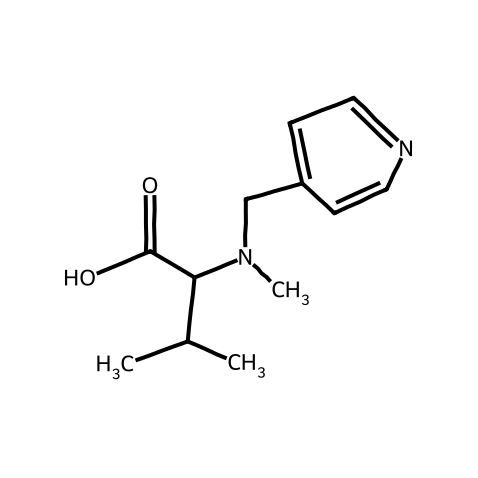 CC(C)C(C(=O)O)N(C)Cc1ccncc1